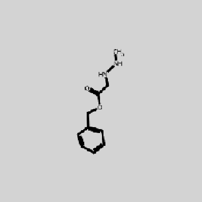 CNNCC(=O)OCc1ccccc1